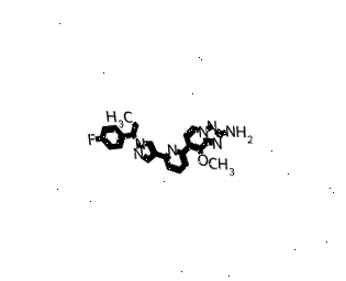 CCC(c1ccc(F)cc1)n1cc(-c2cccc(-c3ccn4nc(N)nc4c3OC)n2)cn1